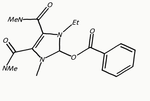 CCN1C(C(=O)NC)=C(C(=O)NC)N(C)C1OC(=O)c1ccccc1